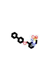 O=S1(=O)CCN2C(=N1)C1(COc3ccc(-c4ccccc4)cc3)CCC2CC1